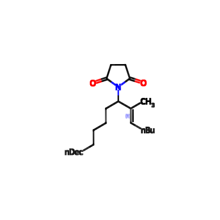 CCCC/C=C(\C)C(CCCCCCCCCCCCCC)N1C(=O)CCC1=O